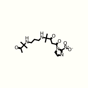 CC(=O)C(C)(C)NCCCNC(C)(C)C(=O)CC(=O)n1ccnc1[N+](=O)[O-]